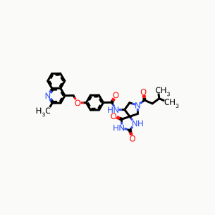 Cc1cc(COc2ccc(C(=O)NC3CN(C(=O)CC(C)C)CC34NC(=O)NC4=O)cc2)c2ccccc2n1